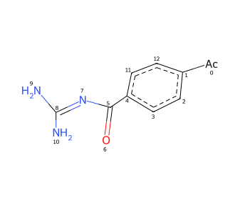 CC(=O)c1ccc(C(=O)N=C(N)N)cc1